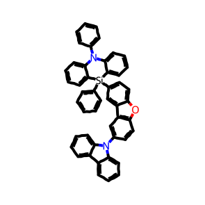 c1ccc(N2c3ccccc3[Si](c3ccccc3)(c3ccc4oc5ccc(-n6c7ccccc7c7ccccc76)cc5c4c3)c3ccccc32)cc1